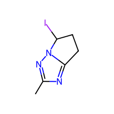 Cc1nc2n(n1)C(I)CC2